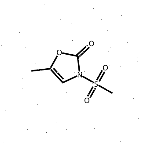 Cc1cn(S(C)(=O)=O)c(=O)o1